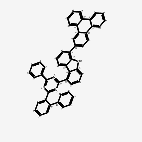 c1ccc(-c2nc(-c3ccccc3-c3ccccc3)nc(-c3cccc4oc5c(-c6ccc7c8ccccc8c8ccccc8c7c6)cccc5c34)n2)cc1